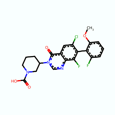 COc1cccc(F)c1-c1c(Cl)cc2c(=O)n(C3CCCN(C(=O)O)C3)cnc2c1F